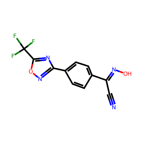 N#CC(=NO)c1ccc(-c2noc(C(F)(F)F)n2)cc1